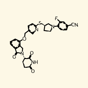 N#Cc1ccc(N2CC[C@@H](Sc3ccc(COc4cccc5c4CN([C@H]4CCC(=O)NC4=O)C5=O)cn3)C2)c(F)c1